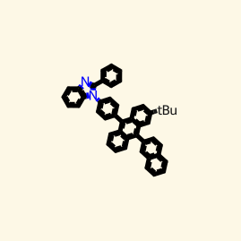 CC(C)(C)c1ccc2c(-c3ccc(-n4c(-c5ccccc5)nc5ccccc54)cc3)c3ccccc3c(-c3ccc4ccccc4c3)c2c1